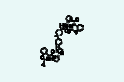 CC1(C(=O)NC[C@@H]2CCCN2C(=O)[C@H](NC(=O)C2CC2)c2ccccc2)CCC(C)(c2ccc(-c3cnc([C@@H]4CCCN4C(=O)[C@H](NC(=O)C4CC4)c4ccccc4)[nH]3)cc2)CC1